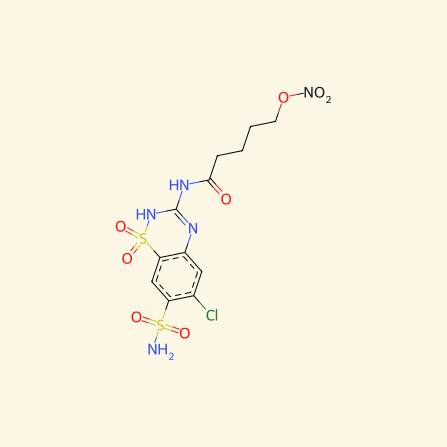 NS(=O)(=O)c1cc2c(cc1Cl)N=C(NC(=O)CCCCO[N+](=O)[O-])NS2(=O)=O